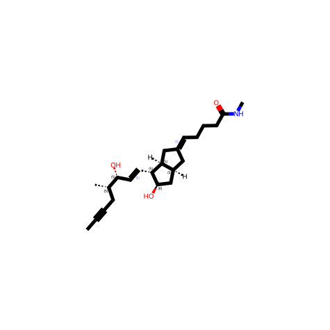 CC#CC[C@H](C)[C@H](O)/C=C/[C@@H]1[C@H]2C/C(=C/CCCC(=O)NC)C[C@H]2C[C@H]1O